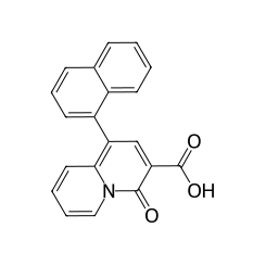 O=C(O)c1cc(-c2cccc3ccccc23)c2ccccn2c1=O